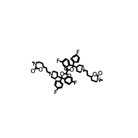 CN1CCC(CCN2CCC(C(OC(=O)C(=O)OC(c3ccc(F)cc3)(c3ccc(F)cc3)C3CCN(CCC4CCN(C)C(=O)O4)CC3)(c3ccc(F)cc3)c3ccc(F)cc3)CC2)OC1=O